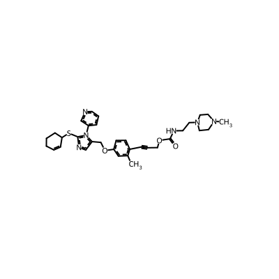 Cc1cc(OCc2cnc(SC3C=CCCC3)n2-c2cccnc2)ccc1C#CCOC(=O)NCCN1CCN(C)CC1